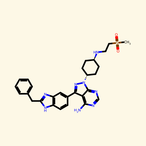 CS(=O)(=O)CCN[C@H]1CC[C@H](n2nc(-c3ccc4[nH]c(Cc5ccccc5)nc4c3)c3c(N)ncnc32)CC1